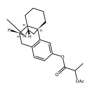 CC(=O)OC(C)C(=O)Oc1ccc2c(c1)[C@@]13CCCC[C@H]1[C@@H](C2)N(C)CC3